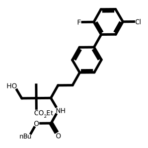 CCCCOC(=O)NC(CCc1ccc(-c2cc(Cl)ccc2F)cc1)C(C)(CO)C(=O)OCC